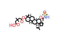 C=C(C)[C@@H]1CC[C@]2(CC(=O)NS(=C)(C)=O)CC[C@]3(C)[C@H](CC[C@@H]4[C@@]5(C)CC[C@H](OC(=O)CC(C)(C)CC(=O)O)C(C)(C)[C@@H]5CC[C@]43C)[C@@H]12